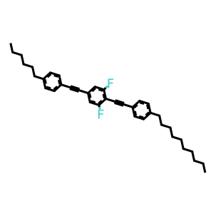 CCCCCCCCCCc1ccc(C#Cc2c(F)cc(C#Cc3ccc(CCCCCC)cc3)cc2F)cc1